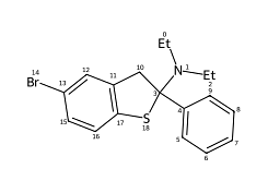 CCN(CC)C1(c2ccccc2)Cc2cc(Br)ccc2S1